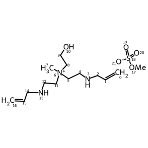 C=CCNCC[N+](C)(CCO)CCNCC=C.COS(=O)(=O)[O-]